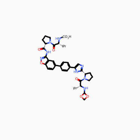 CC(C)[C@@H](NC(=O)O)C(=O)N1CCC[C@H]1C(=O)Nc1noc2ccc(-c3ccc(-c4cnc([C@@H]5CCCN5C(=O)[C@H](NC5OCO5)C(C)C)[nH]4)cc3)cc12